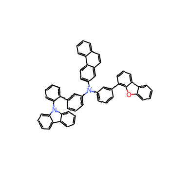 c1cc(-c2ccccc2-n2c3ccccc3c3ccccc32)cc(N(c2cccc(-c3cccc4c3oc3ccccc34)c2)c2ccc3c(ccc4ccccc43)c2)c1